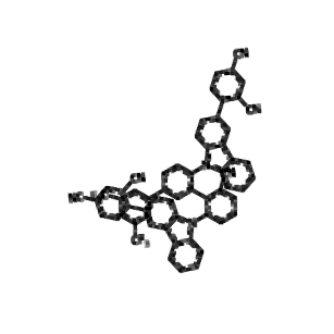 N#Cc1ccc(-c2ccc3c(c2)c2ccccc2n3-c2ccc(-c3cc(C(F)(F)F)cc(C(F)(F)F)c3)cc2-c2c(C#N)cccc2-n2c3ccccc3c3cc(-c4ccc(C#N)cc4C#N)ccc32)c(C#N)c1